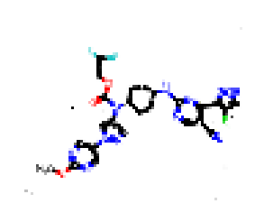 COc1ncc(-n2cc(N(C(=O)OCC(F)F)[C@H]3CC[C@H](Nc4ncc(C#N)c(-c5n[nH]cc5Cl)n4)CC3)cn2)cn1